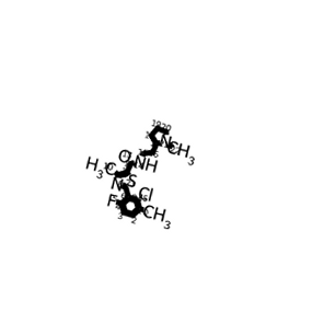 Cc1ccc(F)c(-c2nc(C)c(C(=O)NCCC3CCCN3C)s2)c1Cl